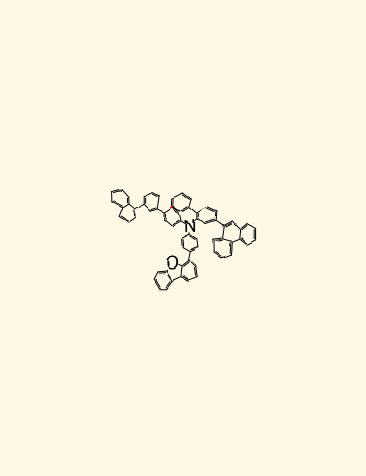 c1ccc(-c2ccc(-c3cc4ccccc4c4ccccc34)cc2N(c2ccc(-c3cccc(-c4cccc5ccccc45)c3)cc2)c2ccc(-c3cccc4c3oc3ccccc34)cc2)cc1